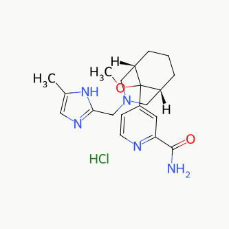 COC1(c2ccnc(C(N)=O)c2)[C@@H]2CCC[C@H]1CN(Cc1ncc(C)[nH]1)C2.Cl